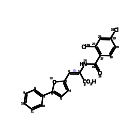 O=C(O)/C(=C\c1ccc(-c2ccccc2)o1)NC(=O)c1ccc(Cl)cc1Cl